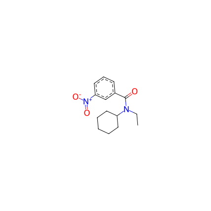 CCN(C(=O)c1cccc([N+](=O)[O-])c1)C1CCCCC1